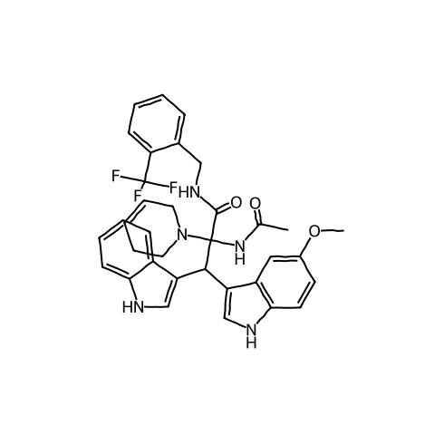 COc1ccc2[nH]cc(C(c3c[nH]c4ccccc34)C(NC(C)=O)(C(=O)NCc3ccccc3C(F)(F)F)N3CC=CCC3)c2c1